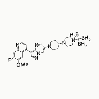 BC(B)(B)N1CCN(C2CCN(c3cnc4c(-c5ccnc6cc(F)c(OC)cc56)cnn4c3)CC2)CC1